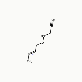 C#CCNOC/C=C/C